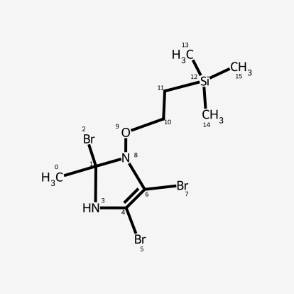 CC1(Br)NC(Br)=C(Br)N1OCC[Si](C)(C)C